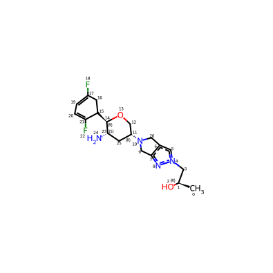 C[C@@H](O)Cn1cc2c(n1)CN([C@H]1CO[C@H](C3CC(F)=CC=C3F)[C@@H](N)C1)C2